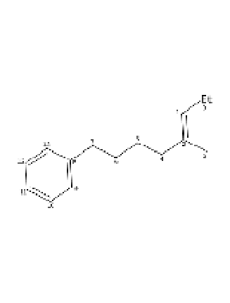 CCC=C(C)CCCCc1ccccc1